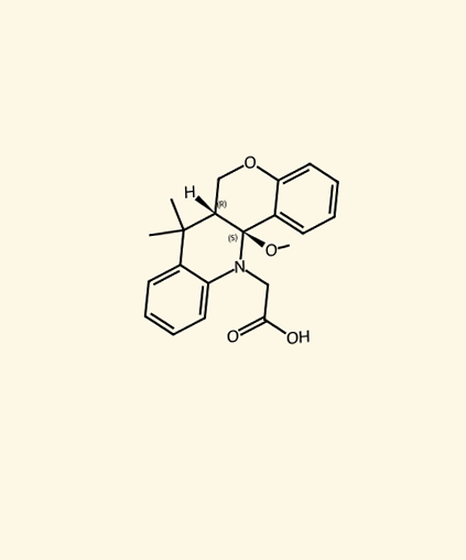 CO[C@]12c3ccccc3OC[C@H]1C(C)(C)c1ccccc1N2CC(=O)O